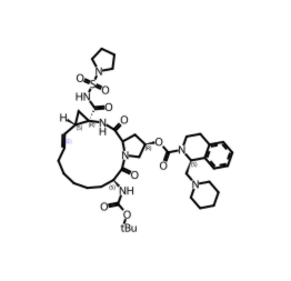 CC(C)(C)OC(=O)N[C@H]1CCCCC/C=C/[C@@H]2C[C@@]2(C(=O)NS(=O)(=O)N2CCCC2)NC(=O)C2C[C@@H](OC(=O)N3CCc4ccccc4[C@H]3CN3CCCCC3)CN2C1=O